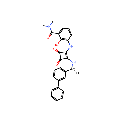 CC[C@@H](Nc1c(Nc2cccc(C(=O)N(C)C)c2O)c(=O)c1=O)c1cccc(-c2ccccc2)c1